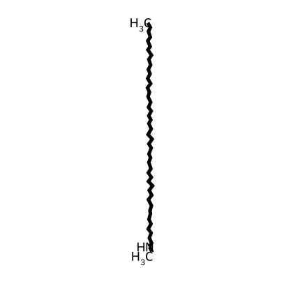 CCCCCCCCCCCCCCCCCCCCCCCCCCCCCCCCCCCCCCCCCCCCCCCCNCC